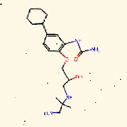 CC(C)(CN)NCC(O)COc1ccc(C2CCCCC2)cc1NC(N)=O